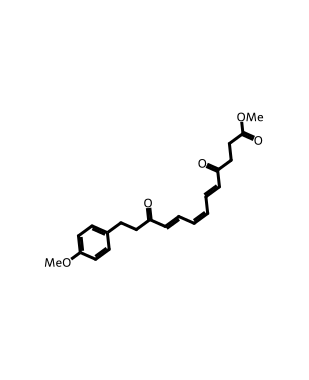 COC(=O)CCC(=O)/C=C/C=C\C=C\C(=O)CCc1ccc(OC)cc1